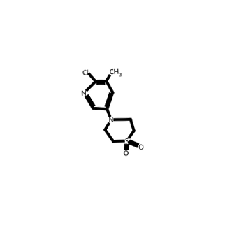 Cc1cc(N2CCS(=O)(=O)CC2)cnc1Cl